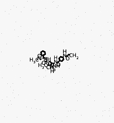 C=CC(=O)Nc1ccc(C(=O)NC2NNC3=C2CN(C(=O)N[C@H](CN(C)C)c2ccccc2)C3(C)C)cc1